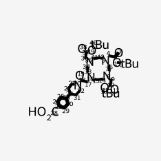 CC(C)(C)OC(=O)CN1CCN(CC(=O)OC(C)(C)C)CCN(CC(=O)N2CCC(c3ccc(C(=O)O)cc3)CC2)CCN(CC(=O)OC(C)(C)C)CC1